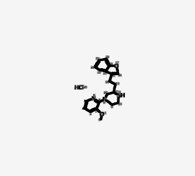 COc1cccnc1N1CCNC(CCc2coc3ccccc23)C1.Cl